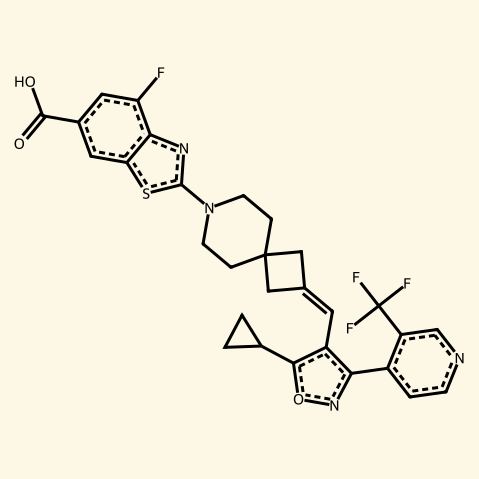 O=C(O)c1cc(F)c2nc(N3CCC4(CC3)CC(=Cc3c(-c5ccncc5C(F)(F)F)noc3C3CC3)C4)sc2c1